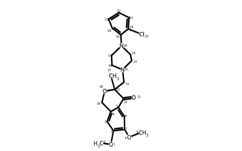 COc1cc2c(cc1OC)C(=O)C(C)(CN1CCN(c3ccccc3Cl)CC1)OC2